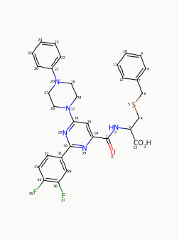 O=C(NC(CSCc1ccccc1)C(=O)O)c1cc(N2CCN(c3ccccc3)CC2)nc(-c2ccc(F)c(F)c2)n1